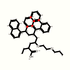 CCCOCCOC(CC(CC)C(=O)O)CC(CC(CC(C)c1ccccc1)c1cccc2ccccc12)c1c2ccccc2cc2ccccc12